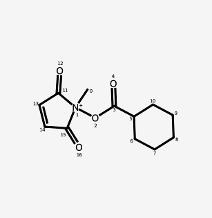 C[N+]1(OC(=O)C2CCCCC2)C(=O)C=CC1=O